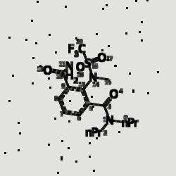 CCCN(CCC)C(=O)c1cccc(C(N)=O)c1N(C)S(=O)(=O)C(F)(F)F